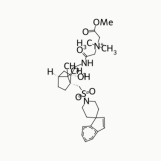 COC(=O)C[N+](C)(C)CC(=O)NC[C@]1(O)C[C@@H]2CC[C@@]1(CS(=O)(=O)N1CCC3(C=Cc4ccccc43)CC1)C2(C)C